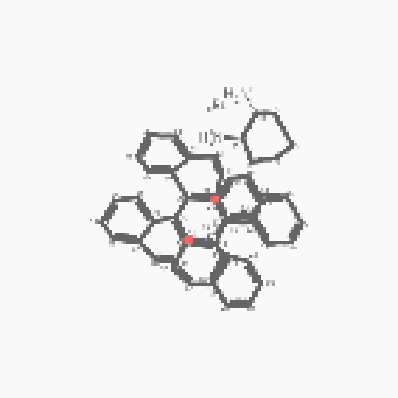 N[C@@H]1CCCC[C@H]1N.[Ru].c1ccc(P(c2ccccc2)c2ccc3ccccc3c2-c2c(P(c3ccccc3)c3ccccc3)ccc3ccccc23)cc1